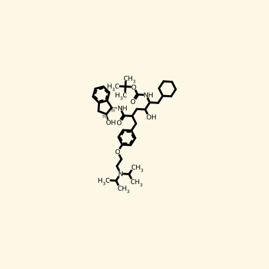 CC(C)N(CCOc1ccc(CC(CC(O)C(CC2CCCCC2)NC(=O)OC(C)(C)C)C(=O)N[C@H]2c3ccccc3C[C@@H]2O)cc1)C(C)C